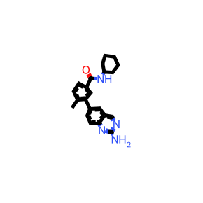 Cc1ccc(C(=O)NC2CCCCC2)cc1-c1ccc2nc(N)ncc2c1